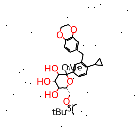 COC1(c2ccc(C3CC3)c(Cc3ccc4c(c3)OCCO4)c2)O[C@H](CO[Si](C)(C)C(C)(C)C)[C@@H](O)[C@H](O)[C@H]1O